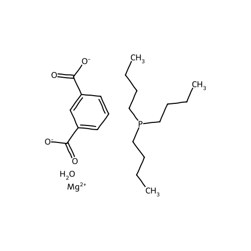 CCCCP(CCCC)CCCC.O.O=C([O-])c1cccc(C(=O)[O-])c1.[Mg+2]